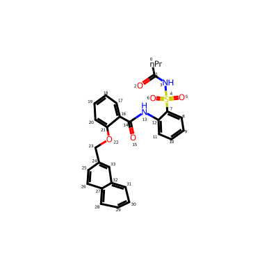 CCCC(=O)NS(=O)(=O)c1ccccc1NC(=O)c1ccccc1OCc1ccc2ccccc2c1